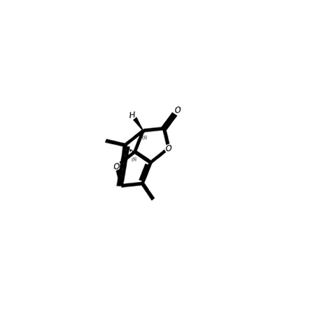 CC1=C2OC(=O)[C@H]3C(C)=C1O[C@H]23